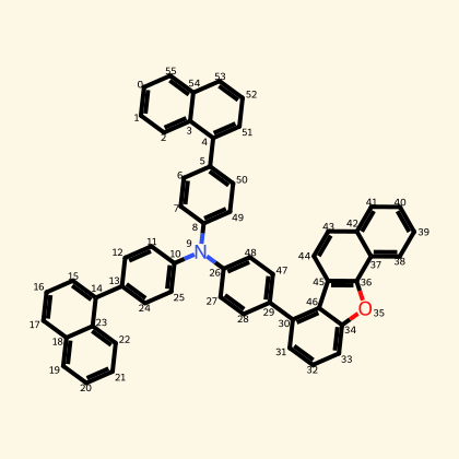 c1ccc2c(-c3ccc(N(c4ccc(-c5cccc6ccccc56)cc4)c4ccc(-c5cccc6oc7c8ccccc8ccc7c56)cc4)cc3)cccc2c1